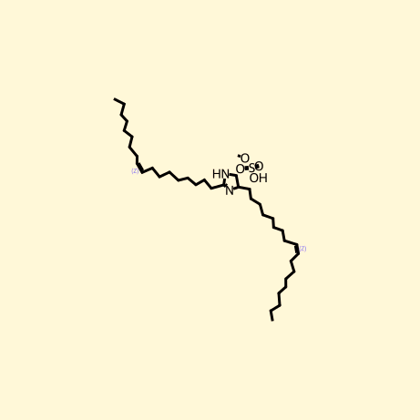 CCCCCCCC/C=C\CCCCCCCCC1=NC(CCCCCCCC/C=C\CCCCCCCC)CN1.COS(=O)(=O)O